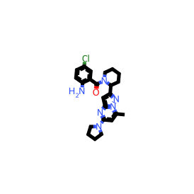 Cc1cc(N2CCCC2)nc2cc(C3CCCCN3C(=O)c3cc(Cl)ccc3N)nn12